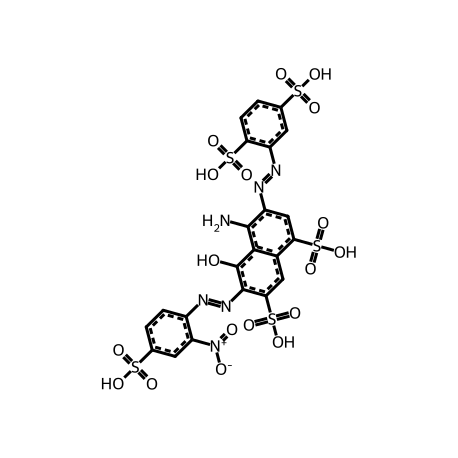 Nc1c(N=Nc2cc(S(=O)(=O)O)ccc2S(=O)(=O)O)cc(S(=O)(=O)O)c2cc(S(=O)(=O)O)c(N=Nc3ccc(S(=O)(=O)O)cc3[N+](=O)[O-])c(O)c12